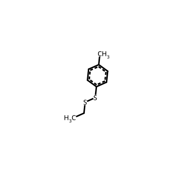 CCSSc1ccc(C)cc1